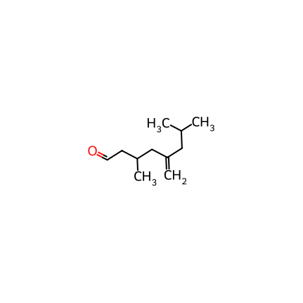 C=C(CC(C)C)CC(C)CC=O